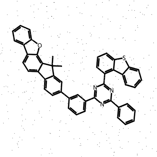 CC1(C)c2cc(-c3cccc(-c4nc(-c5ccccc5)nc(-c5cccc6sc7ccccc7c56)n4)c3)ccc2-c2ccc3c(oc4ccccc43)c21